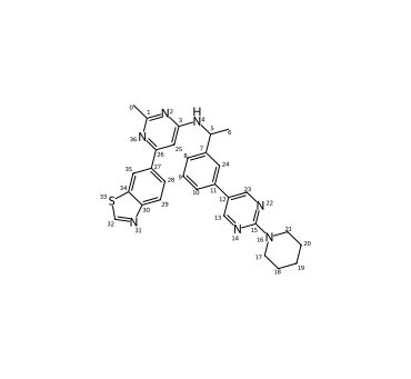 Cc1nc(NC(C)c2cccc(-c3cnc(N4CCCCC4)nc3)c2)cc(-c2ccc3ncsc3c2)n1